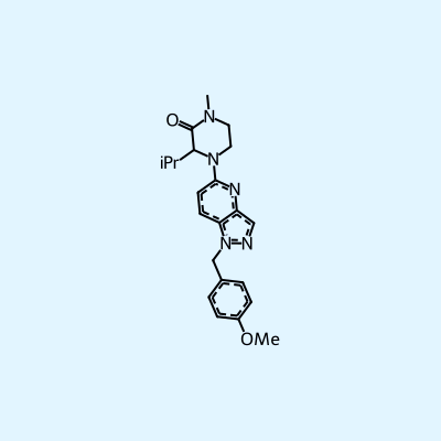 COc1ccc(Cn2ncc3nc(N4CCN(C)C(=O)C4C(C)C)ccc32)cc1